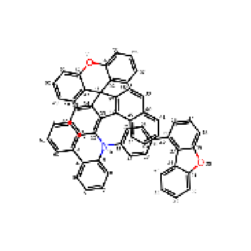 c1ccc(-c2ccccc2N(c2ccc(-c3cccc4oc5ccccc5c34)cc2)c2cccc3c2-c2c(ccc4ccccc24)C32c3ccccc3Oc3ccccc32)cc1